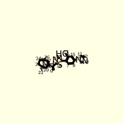 C=C(c1nnc(-c2ccc(-n3ccnc3)cc2O)s1)[C@H]1C[C@]2(C)CC[C@](C)(C1)N2